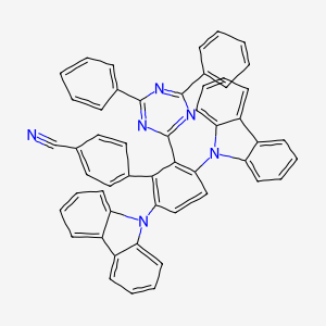 N#Cc1ccc(-c2c(-n3c4ccccc4c4ccccc43)ccc(-n3c4ccccc4c4ccccc43)c2-c2nc(-c3ccccc3)nc(-c3ccccc3)n2)cc1